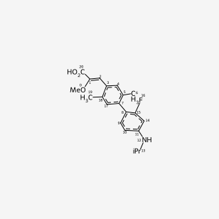 CO/C(=C\c1cc(C)c(-c2ccc(NC(C)C)cc2F)cc1C)C(=O)O